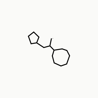 [CH2]C(CC1CCCC1)C1CCCCCCC1